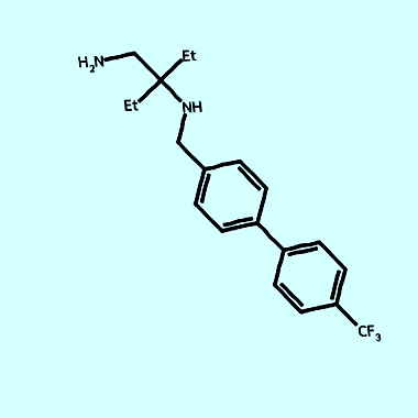 CCC(CC)(CN)NCc1ccc(-c2ccc(C(F)(F)F)cc2)cc1